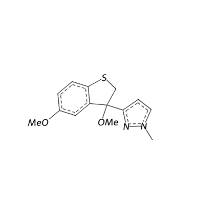 COc1ccc2c(c1)C(OC)(c1ccn(C)n1)CS2